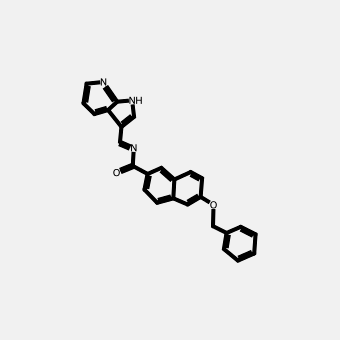 O=C(N=Cc1c[nH]c2ncccc12)c1ccc2cc(OCc3ccccc3)ccc2c1